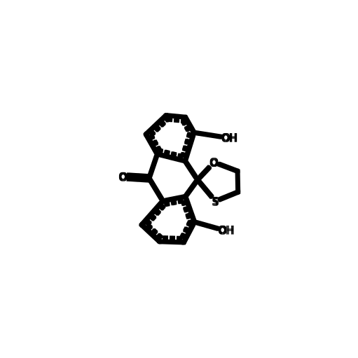 O=C1c2cccc(O)c2C2(OCCS2)c2c(O)cccc21